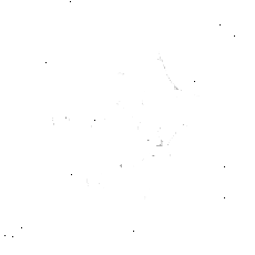 NCC1(CP(=O)(O)O)C2CC3CC(C2)CC1C3